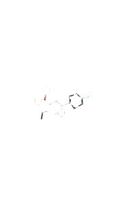 C=CC[C@@H](CC(OC)c1ccc(F)cc1)C(=O)OC